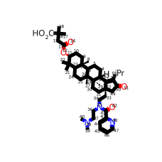 CC(C)C1=C2[C@H]3CCC4[C@@]5(C)CC[C@H](OC(=O)CC(C)(C)C(=O)O)C(C)(C)C5CC[C@@]4(C)[C@]3(C)CC[C@@]2(CCN(CCN(C)C)C(=O)c2ccccn2)CC1=O